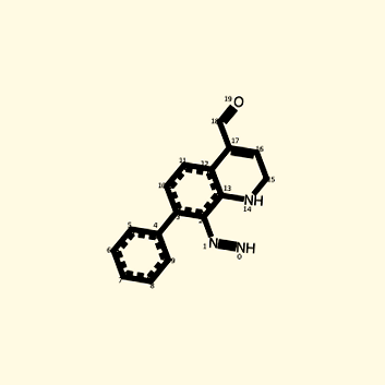 N=Nc1c(-c2ccccc2)ccc2c1NCC=C2C=O